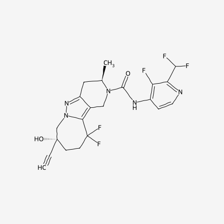 C#C[C@]1(O)CCC(F)(F)c2c3c(nn2C1)C[C@@H](C)N(C(=O)Nc1ccnc(C(F)F)c1F)C3